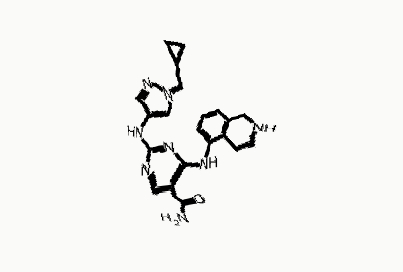 NC(=O)c1cnc(Nc2cnn(CC3CC3)c2)nc1Nc1cccc2c1CCNC2